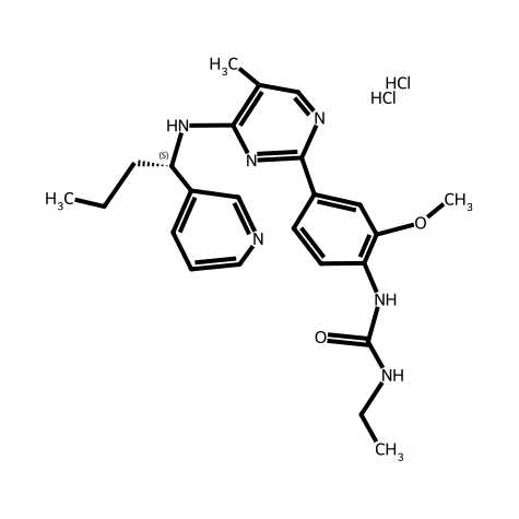 CCC[C@H](Nc1nc(-c2ccc(NC(=O)NCC)c(OC)c2)ncc1C)c1cccnc1.Cl.Cl